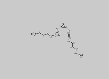 CCCCC[C@@H]1CC1C[C@@H]1C[C@@H]1CC#CCCCCCO